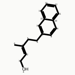 CC(=CCO)CCc1ccc2ccccc2c1